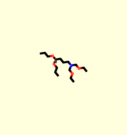 CCCO[SiH](CCCN(COCC)COCC)OCCC